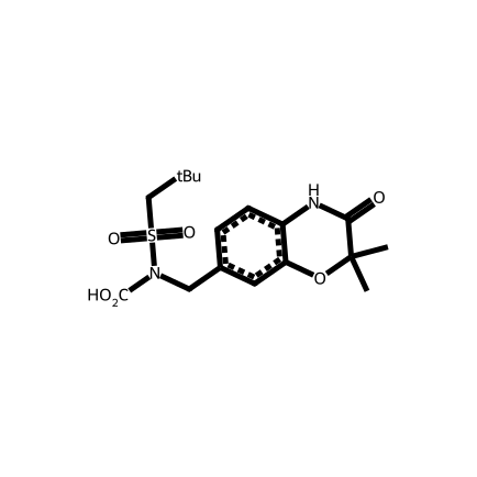 CC(C)(C)CS(=O)(=O)N(Cc1ccc2c(c1)OC(C)(C)C(=O)N2)C(=O)O